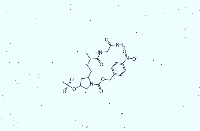 CC(SCC1CC(OS(C)(=O)=O)CN1C(=O)OCc1ccc([N+](=O)[O-])cc1)C(=O)NCC(N)=O